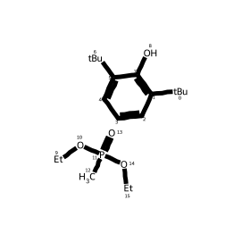 CC(C)(C)c1cccc(C(C)(C)C)c1O.CCOP(C)(=O)OCC